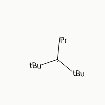 CC(C)[C](C(C)(C)C)C(C)(C)C